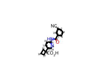 N#Cc1cccc(C(=O)Nc2ccc(C3(C(=O)O)CCC3)cn2)c1